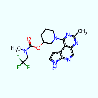 Cc1nc(N2CCCC(OC(=O)N(C)CC(F)(F)F)C2)c2c(cnc3[nH]ccc32)n1